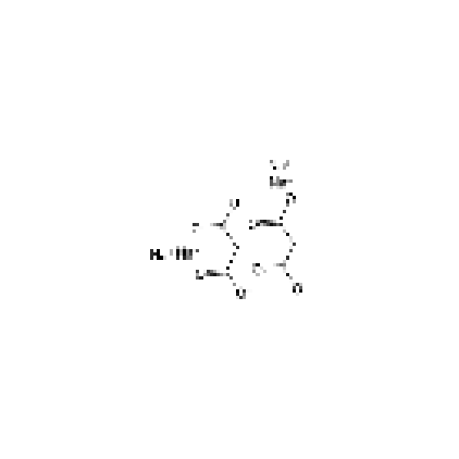 O=C([O-])CC(=O)[O-].O=C([O-])CC(=O)[O-].[Na+].[Na+].[Na+].[Na+]